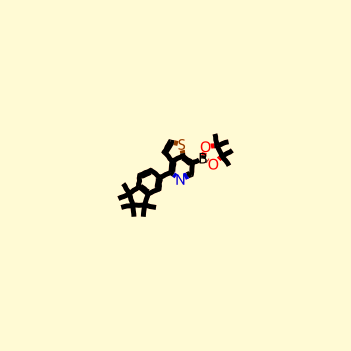 CC1(C)OB(c2cnc(-c3ccc4c(c3)C(C)(C)C(C)(C)C4(C)C)c3ccsc23)OC1(C)C